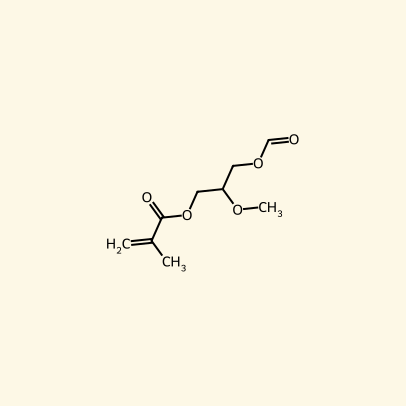 C=C(C)C(=O)OCC(COC=O)OC